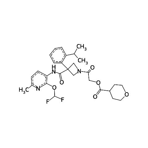 Cc1ccc(NC(=O)C2(c3ccccc3C(C)C)CN(C(=O)COC(=O)C3CCOCC3)C2)c(OC(F)F)n1